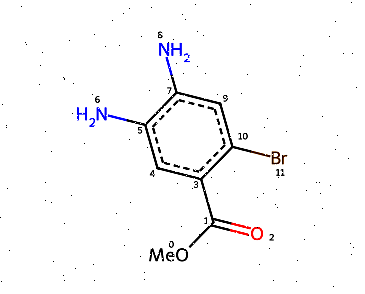 COC(=O)c1cc(N)c(N)cc1Br